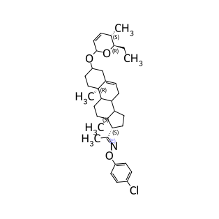 CC[C@H]1OC(OC2CC[C@@]3(C)C(=CCC4C3CC[C@@]3(C)C4CC[C@@H]3/C(C)=N/Oc3ccc(Cl)cc3)C2)C=C[C@@H]1C